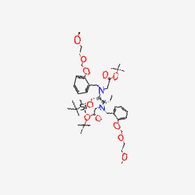 CC[C@@H]([C@H](CO[Si](C)(C)C(C)(C)C)N(CC(=O)OC(C)(C)C)Cc1ccccc1OCOCCOC)N(CC(=O)OC(C)(C)C)Cc1ccccc1OCOCCOC